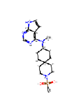 CCS(=O)(=O)N1CCC2(CCC(N(C)c3ncnc4[nH]ccc34)CC2)CC1